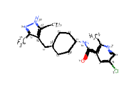 Cc1ncc(Cl)cc1C(=O)N[C@H]1CC[C@H](Cc2c(C(F)(F)F)n[nH]c2C)CC1